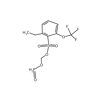 CCc1cccc(OC(F)(F)F)c1S(=O)(=O)OCO[PH2]=O